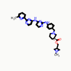 Cc1cccc(-c2nccc(Nc3ccnc(Nc4ccc(CN5CCC[C@H](C(=O)OCC6CN(C)C6)C5)cc4)n3)n2)n1